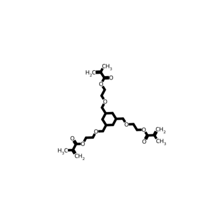 C=C(C)C(=O)OCCOCC1CC(COCCOC(=O)C(=C)C)CC(COCCOC(=O)C(=C)C)C1